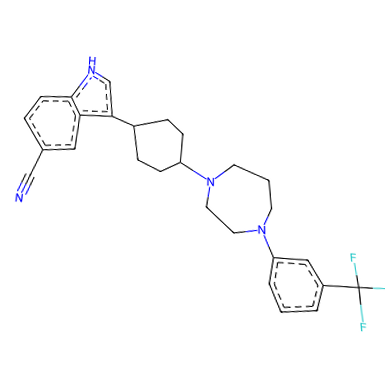 N#Cc1ccc2[nH]cc(C3CCC(N4CCCN(c5cccc(C(F)(F)F)c5)CC4)CC3)c2c1